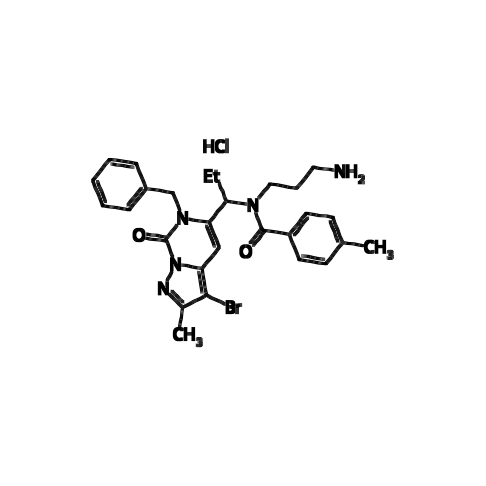 CCC(c1cc2c(Br)c(C)nn2c(=O)n1Cc1ccccc1)N(CCCN)C(=O)c1ccc(C)cc1.Cl